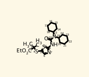 CCOC(=O)C(C)(C)Sc1cnc(NC(=O)N(C2CCCCC2)C2CCCCC2)s1